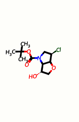 CC(C)(C)OC(=O)N1C[C@@H](Cl)C2OC[C@H](O)C21